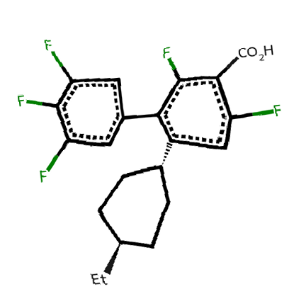 CC[C@H]1CC[C@H](c2cc(F)c(C(=O)O)c(F)c2-c2cc(F)c(F)c(F)c2)CC1